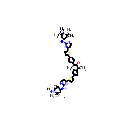 CC(C(=O)C(C)c1ccc(-c2ccc(-c3ccnc(NC4CC(C)(C)NC(C)(C)C4)n3)s2)cc1)c1ccc(-c2ccc(-c3ccnc(NC4CC(C)(C)NC(C)(C)C4)n3)s2)cc1